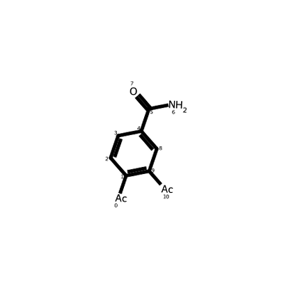 CC(=O)c1ccc(C(N)=O)cc1C(C)=O